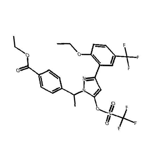 CCOC(=O)c1ccc(C(C)n2nc(-c3cc(C(F)(F)F)ccc3OCC)cc2OS(=O)(=O)C(F)(F)F)cc1